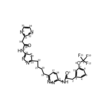 O=C(Cc1cccc(OC(F)(F)F)c1)Nc1ccc(CCCCc2nnc(NC(=O)Cc3cnccn3)s2)nn1